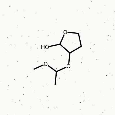 COC(C)OC1CCOC1O